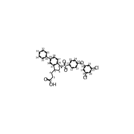 O=C(O)CCC1CN(S(=O)(=O)c2ccc(Oc3cc(Cl)cc(Cl)c3)cc2)c2ccc(-c3ccccc3)cc21